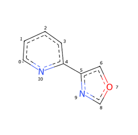 [c]1cccc(-c2cocn2)n1